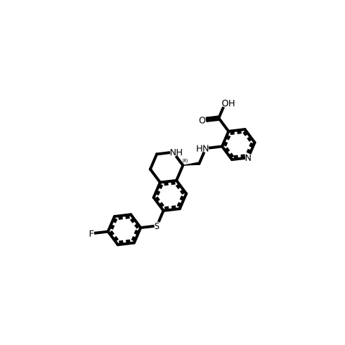 O=C(O)c1ccncc1NC[C@@H]1NCCc2cc(Sc3ccc(F)cc3)ccc21